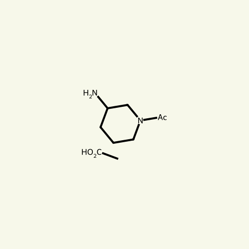 CC(=O)N1CCCC(N)C1.CC(=O)O